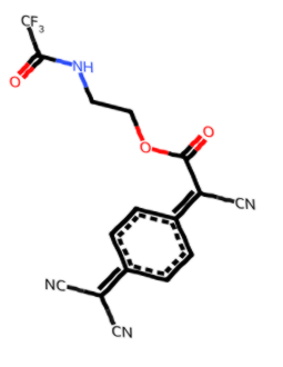 N#CC(C#N)=c1ccc(=C(C#N)C(=O)OCCNC(=O)C(F)(F)F)cc1